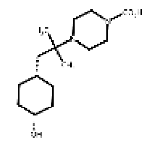 CC(C)(C[C@H]1CC[C@@H](O)CC1)N1CCN(C(=O)O)CC1